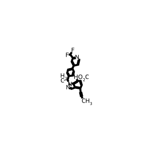 CC#Cc1ccc(C(=O)O)c2c1cnn2[C@H](C)c1ccc(-c2ccnc(C(F)F)c2)cc1